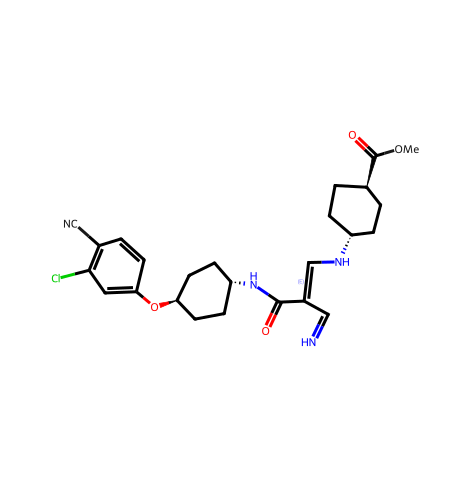 COC(=O)[C@H]1CC[C@H](N/C=C(\C=N)C(=O)N[C@H]2CC[C@H](Oc3ccc(C#N)c(Cl)c3)CC2)CC1